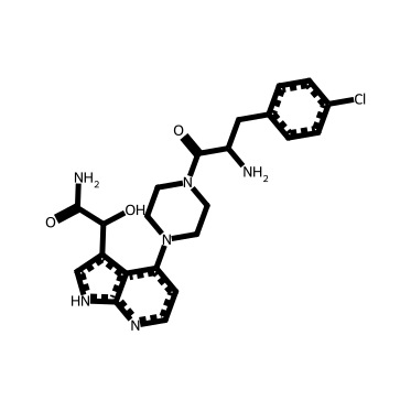 NC(=O)C(O)c1c[nH]c2nccc(N3CCN(C(=O)C(N)Cc4ccc(Cl)cc4)CC3)c12